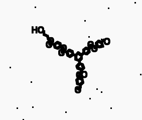 O=Cc1ccc(OC(=O)c2ccc(-c3cc(-c4ccc(C(=O)Oc5ccc(C=O)cc5)cc4)cc(-c4ccc(C(=O)Oc5ccc(C(=O)OCCCCO)cc5)cc4)c3)cc2)cc1